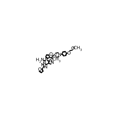 COCCOc1ccc(N2CCN(C(=O)C(C)(C3C=CC=C3)n3ncc4c3nc(N)n3nc(-c5ccco5)nc43)CC2)cc1